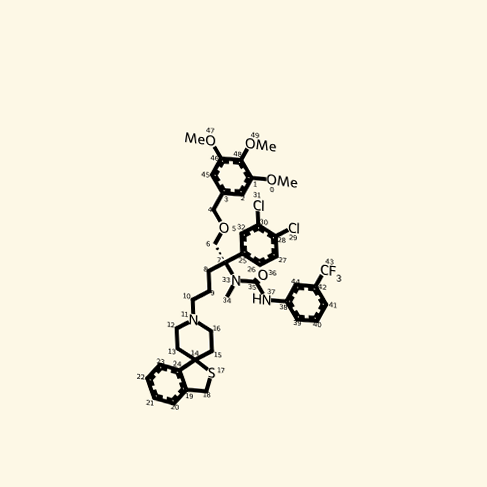 COc1cc(COC[C@](CCCN2CCC3(CC2)SCc2ccccc23)(c2ccc(Cl)c(Cl)c2)N(C)C(=O)Nc2cccc(C(F)(F)F)c2)cc(OC)c1OC